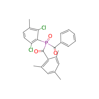 Cc1cc(C)c(C(=O)P(=O)(C(=O)c2ccccc2)c2c(Cl)ccc(C)c2Cl)c(C)c1